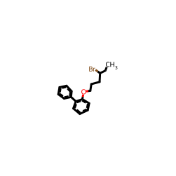 CCC(Br)CCCOc1ccccc1-c1ccccc1